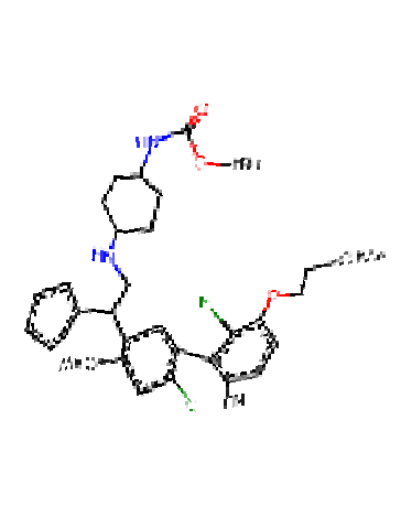 COCCOc1ccc(C#N)c(-c2cc(C(CNC3CCC(NC(=O)OC(C)(C)C)CC3)c3ccccc3)c(OC)cc2Cl)c1F